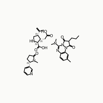 C=C(C)[C@H]1CN[C@H](C(=O)O)[C@H]1CC(=O)O.CCCC1C(=O)N2C(N(C)C)=Nc3ccc(C)cc3N2C1=O.CN1C(=O)CC[C@H]1c1cccnc1